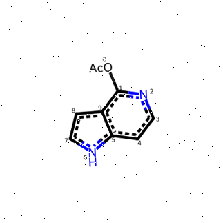 CC(=O)Oc1nccc2[nH]ccc12